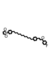 O=C(C=Cc1ccc(CCCCCCCCCCCCc2ccc(N3C(=O)C=CC3=O)cc2)cc1)c1ccc(F)cc1